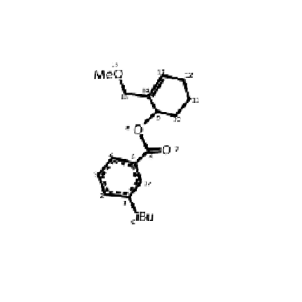 CCC(C)c1cccc(C(=O)OC2CCCC=C2COC)c1